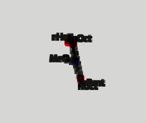 CCCCCCCCC(CCCCC)COCCCCCCN(CCCCCCOC(=O)C(CCCCCC)CCCCCCCC)CCCOC